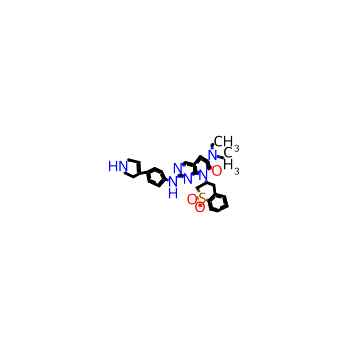 CCN(CC)c1cc2cnc(Nc3ccc(C4=CCNCC4)cc3)nc2n(C2Cc3ccccc3S(=O)(=O)C2)c1=O